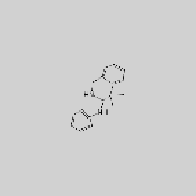 CC1(C)c2ccccc2CNC1Nc1ccccc1